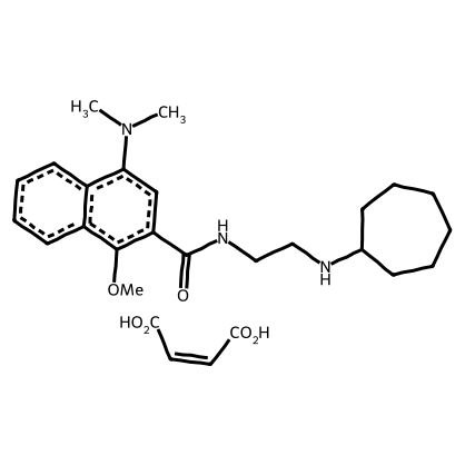 COc1c(C(=O)NCCNC2CCCCCC2)cc(N(C)C)c2ccccc12.O=C(O)/C=C\C(=O)O